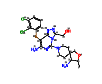 CC1OCC2(CCN(c3nc(N)c(Sc4cccc(Cl)c4Cl)c4nnc(CO)n34)CC2)C1N